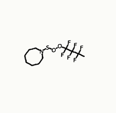 CC(F)(F)C(F)(F)C(F)(F)OOSN1CCCCCCC1